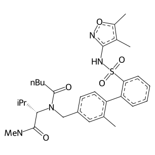 CCCCC(=O)N(Cc1ccc(-c2ccccc2S(=O)(=O)Nc2noc(C)c2C)c(C)c1)[C@H](C(=O)NC)C(C)C